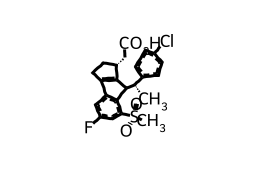 C[C@@H](c1ccc(Cl)cc1)C1C2=C(CC[C@@H]2CC(=O)O)c2cc(F)cc(S(C)(=O)=O)c21